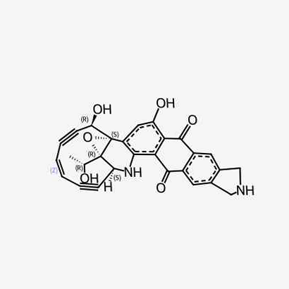 C[C@@H](O)[C@@]12O[C@]13c1cc(O)c4c(c1N[C@H]2C#C/C=C\C#C[C@H]3O)C(=O)c1cc2c(cc1C4=O)CNC2